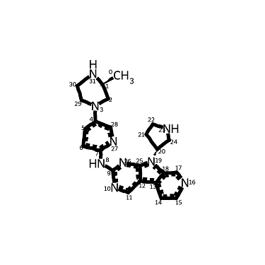 C[C@H]1CN(c2ccc(Nc3ncc4c5ccncc5n([C@@H]5CCNC5)c4n3)nc2)CCN1